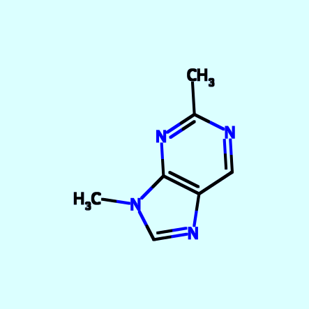 Cc1ncc2ncn(C)c2n1